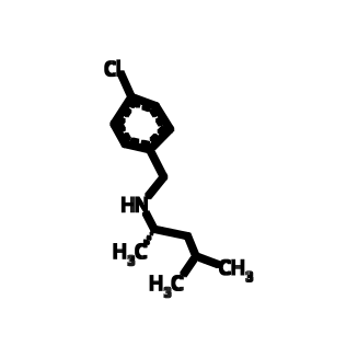 CC(C)C[C@H](C)NCc1ccc(Cl)cc1